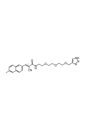 Cc1ccc2cc(/C=C(\C#N)C(=O)NCCOCCOCCOCc3c[nH]nn3)ccc2c1